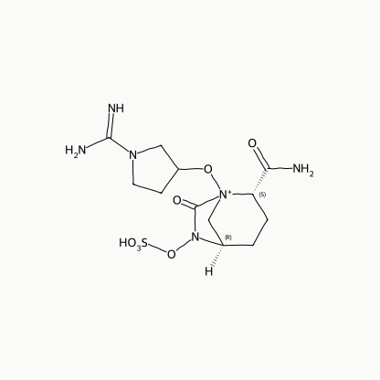 N=C(N)N1CCC(O[N+]23C[C@@H](CC[C@H]2C(N)=O)N(OS(=O)(=O)O)C3=O)C1